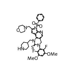 COc1cc(OC)c(F)c(N2Cc3cnc4c(cc(CN5CCOCC5)n4S(=O)(=O)c4ccccc4)c3N(CC3CCNCC3)C2=S)c1F